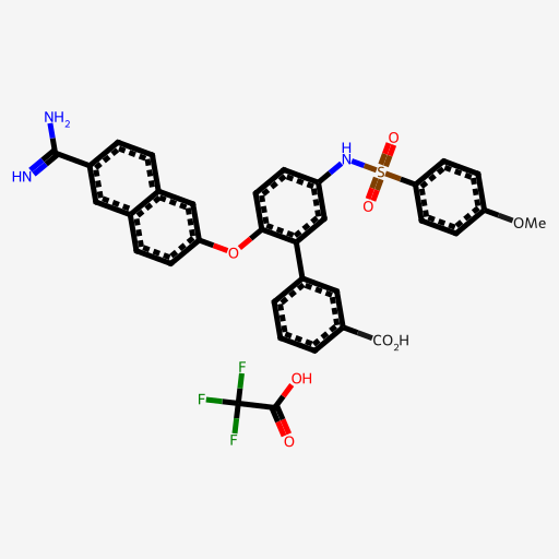 COc1ccc(S(=O)(=O)Nc2ccc(Oc3ccc4cc(C(=N)N)ccc4c3)c(-c3cccc(C(=O)O)c3)c2)cc1.O=C(O)C(F)(F)F